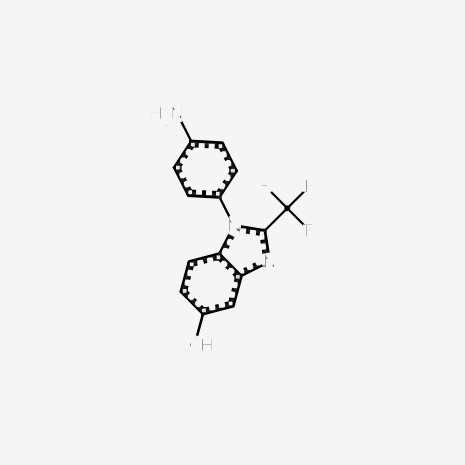 Cc1ccc2c(c1)nc(C(F)(F)F)n2-c1ccc(N)cc1